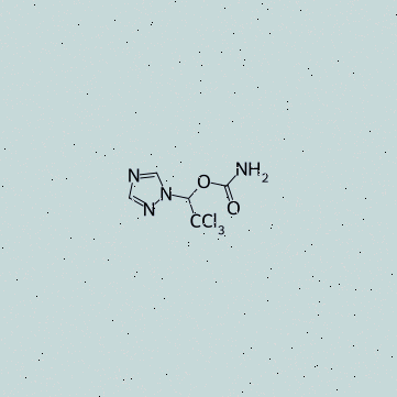 NC(=O)OC(n1cncn1)C(Cl)(Cl)Cl